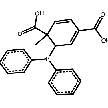 CC1(C(=O)O)C=CC(C(=O)O)=CC1P(c1ccccc1)c1ccccc1